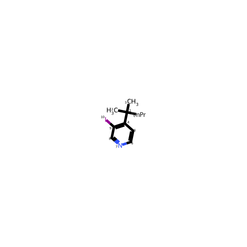 CCCC(C)(C)c1ccncc1I